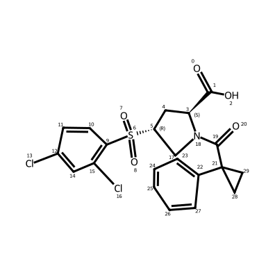 O=C(O)[C@@H]1C[C@@H](S(=O)(=O)c2ccc(Cl)cc2Cl)CN1C(=O)C1(c2ccccc2)CC1